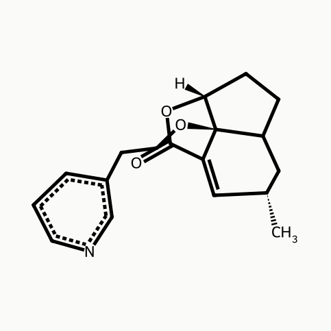 C[C@@H]1C=C2C(=O)O[C@@H]3CCC(C1)[C@]23OCCc1cccnc1